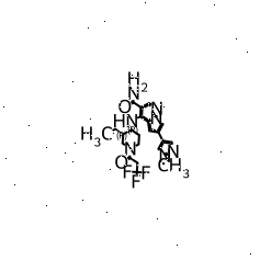 CC[C@@H]1CN(C(=O)CC(F)(F)F)CC[C@H]1Nc1c(C(N)=O)cnn2cc(-c3cnn(C)c3)cc12